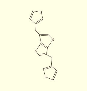 c1cc(Cc2csc3c(Cc4ccsc4)csc23)cs1